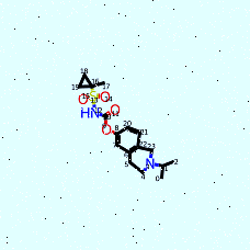 CC(C)N1CCc2cc(OC(=O)NS(=O)(=O)C3(C)CC3)ccc2C1